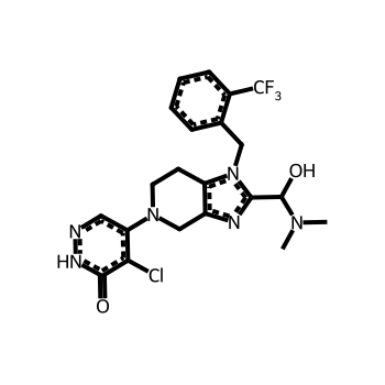 CN(C)C(O)c1nc2c(n1Cc1ccccc1C(F)(F)F)CCN(c1cn[nH]c(=O)c1Cl)C2